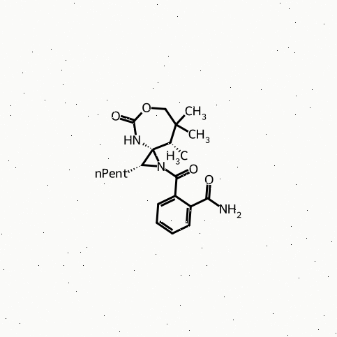 CCCCC[C@H]1N(C(=O)c2ccccc2C(N)=O)[C@@]12NC(=O)OCC(C)(C)[C@@H]2C